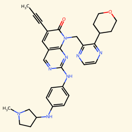 CC#Cc1cc2cnc(Nc3ccc(NC4CCN(C)C4)cc3)nc2n(Cc2nccnc2C2CCOCC2)c1=O